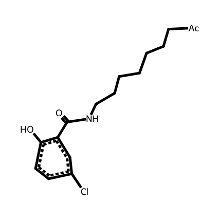 CC(=O)CCCCCCCNC(=O)c1cc(Cl)ccc1O